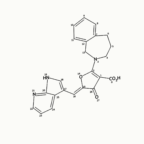 O=C(O)C1=C(N2CCCc3ccccc3C2)O/C(=C\c2c[nH]c3ncccc23)C1=O